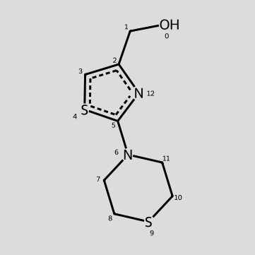 OCc1csc(N2CCSCC2)n1